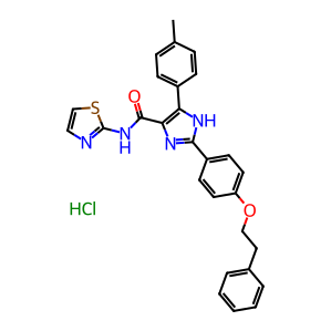 Cc1ccc(-c2[nH]c(-c3ccc(OCCc4ccccc4)cc3)nc2C(=O)Nc2nccs2)cc1.Cl